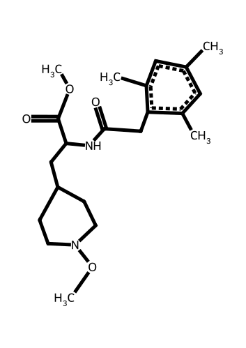 COC(=O)C(CC1CCN(OC)CC1)NC(=O)Cc1c(C)cc(C)cc1C